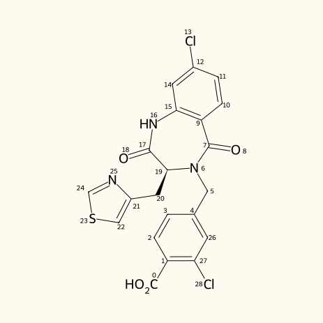 O=C(O)c1ccc(CN2C(=O)c3ccc(Cl)cc3NC(=O)[C@@H]2Cc2cscn2)cc1Cl